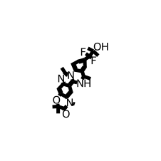 Cc1nc(NC(C)c2cccc(C(F)(F)C(C)(C)O)c2)c2cc3c(cc2n1)OC(C)(C)C(=O)N3C